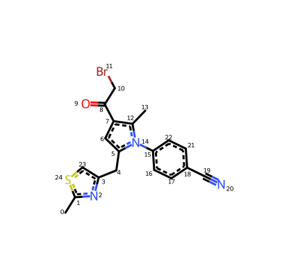 Cc1nc(Cc2cc(C(=O)CBr)c(C)n2-c2ccc(C#N)cc2)cs1